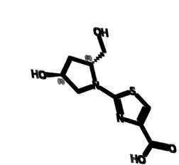 O=C(O)c1csc(N2C[C@@H](O)C[C@@H]2CO)n1